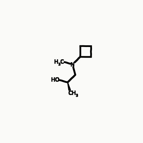 C[C@@H](O)CN(C)C1CCC1